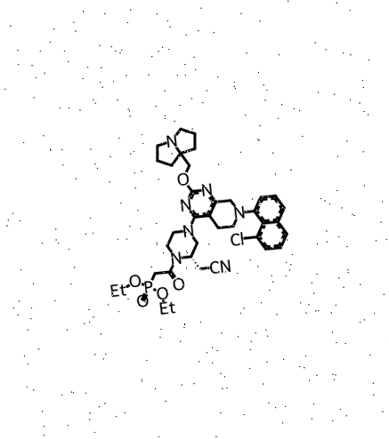 CCOP(=O)(CC(=O)N1CCN(c2nc(OCC34CCCN3CCC4)nc3c2CCN(c2cccc4cccc(Cl)c24)C3)C[C@@H]1CC#N)OCC